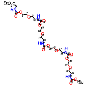 CCOC(=O)CNC(=O)OCCOCCNC(=O)OCCOCCNC(=O)OCCOCCNC(=O)OCCOCCNC(=O)OC(C)(C)C